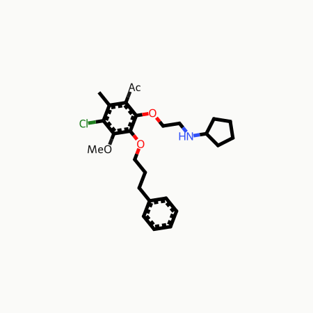 COc1c(Cl)c(C)c(C(C)=O)c(OCCNC2CCCC2)c1OCCCc1ccccc1